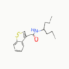 CCCC(CCC)NC(=O)c1csc2ccccc12